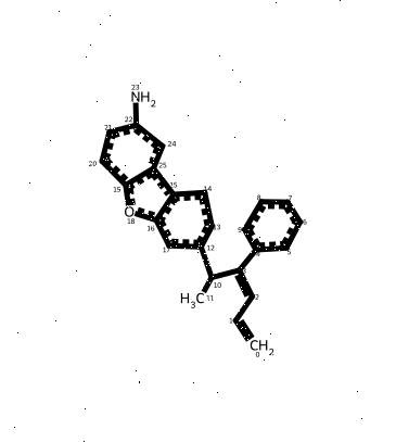 C=C/C=C(/c1ccccc1)C(C)c1ccc2c(c1)oc1ccc(N)cc12